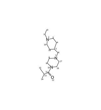 CCN1CCC(CN2CCN(C(=O)C(C)C)CC2)CC1